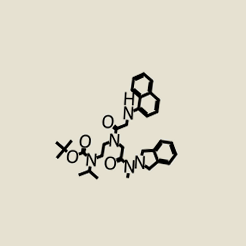 CC(C)N(CCN(CC(=O)N(C)N1Cc2ccccc2C1)C(=O)CNc1cccc2ccccc12)C(=O)OC(C)(C)C